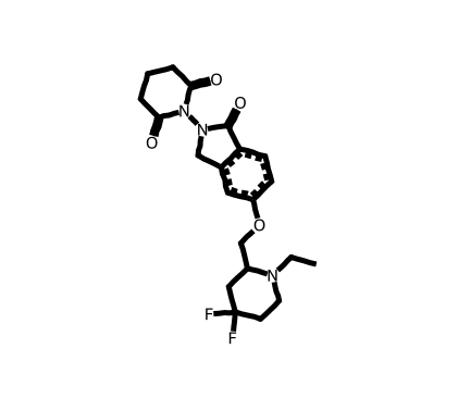 CCN1CCC(F)(F)CC1COc1ccc2c(c1)CN(N1C(=O)CCCC1=O)C2=O